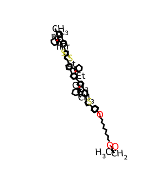 C=C(C)C(=O)OCCCCCCCCCCOc1ccc(-c2ccc(-c3ccc4c(c3)C3(c5cc(-c6ccc7c(c6)C6(c8cc(-c9cc%10sc(-c%11ccc%12c(c%11)C%11(c%13cc(C)ccc%13-%12)C%12(CCC)CCCC%11(CCC)CCC%12)cc%10s9)ccc8-7)C7(CC)CCCC6(CC)CCC7)ccc5-4)C4(C)CCCC3(C)CCC4)s2)cc1